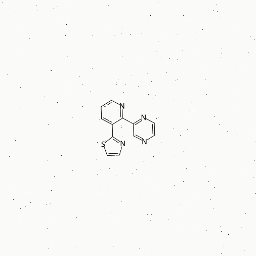 c1cnc(-c2cnccn2)c(-c2nccs2)c1